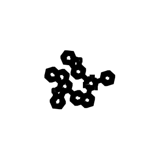 c1ccc(-c2nc(-c3ccc4c(c3)oc3ccccc34)nc(-c3cccc4ccc(-c5cc6ccc7ccccc7c6c6oc7ccccc7c56)cc34)n2)cc1